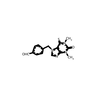 Cn1c(=S)c2c(ncn2Cc2ccc(C=O)cc2)n(C)c1=O